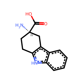 N[C@@]1(C(=O)O)CCc2[nH]c3ccccc3c2C1